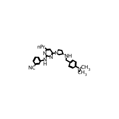 CCCc1cc(N2CC[C@H](NCc3ccc(N(C)C)cc3)C2)nc(Nc2cccc(C#N)c2)n1